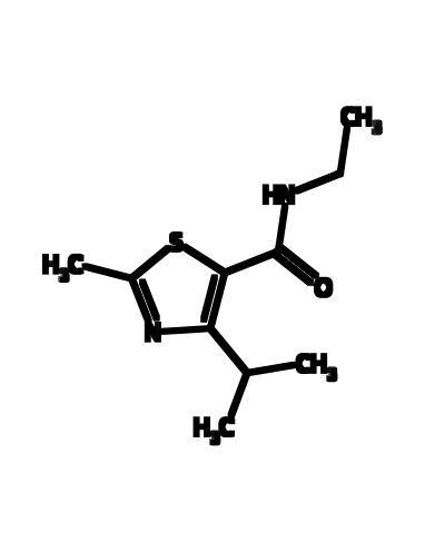 CCNC(=O)c1sc(C)nc1C(C)C